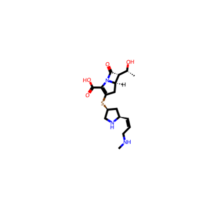 CNC/C=C\[C@@H]1C[C@H](SC2=C(C(=O)O)N3C(=O)[C@H]([C@@H](C)O)[C@H]3C2)CN1